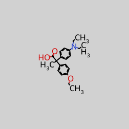 CCOc1ccc(C(C)(C(=O)O)c2ccc(N(CC)CC)cc2)cc1